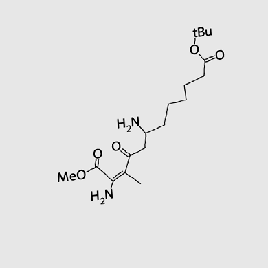 COC(=O)C(N)=C(C)C(=O)CC(N)CCCCCC(=O)OC(C)(C)C